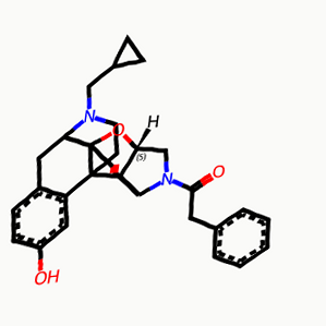 O=C(Cc1ccccc1)N1C[C@H]2OC34CCC1C2C31CCN(CC2CC2)C4Cc2ccc(O)cc21